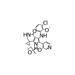 COc1c(Cl)cccc1Nc1c(-c2ccncc2OC[C@@]2(C)CCO2)[nH]c2c1C(=O)NCC21CC1